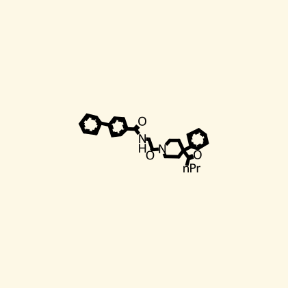 CCCC(=O)C1(c2ccccc2)CCN(C(=O)CNC(=O)c2ccc(-c3ccccc3)cc2)CC1